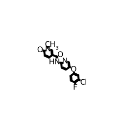 Cn1cc(C(=O)Nc2ccc(Oc3ccc(F)c(Cl)c3)cn2)ccc1=O